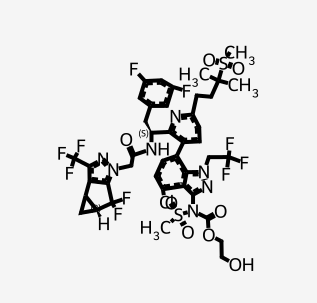 CC(C)(CCc1ccc(-c2ccc(Cl)c3c(N(C(=O)OCCO)S(C)(=O)=O)nn(CC(F)(F)F)c23)c([C@H](Cc2cc(F)cc(F)c2)NC(=O)Cn2nc(C(F)(F)F)c3c2C(F)(F)[C@@H]2CC32)n1)S(C)(=O)=O